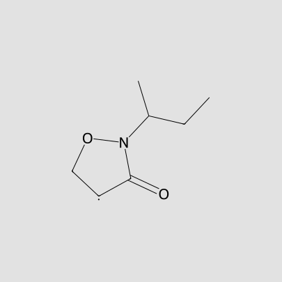 CCC(C)N1OC[CH]C1=O